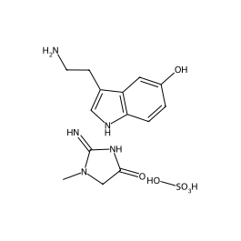 CN1CC(=O)NC1=N.NCCc1c[nH]c2ccc(O)cc12.O=S(=O)(O)O